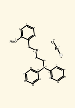 CSc1ccccc1CNCCP(c1ccccc1)c1ccccc1.[Cl][Ru][Cl]